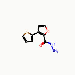 NNC(=O)c1occc1-c1cccs1